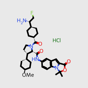 CO[C@H]1CC[C@H]([C@@H]2CCN(C(=O)[C@H]3CC[C@H]([C@H](N)CF)CC3)[C@@H]2C(=O)Nc2ccc3c(c2)cc2n3C(C)(C)OC2=O)CC1.Cl